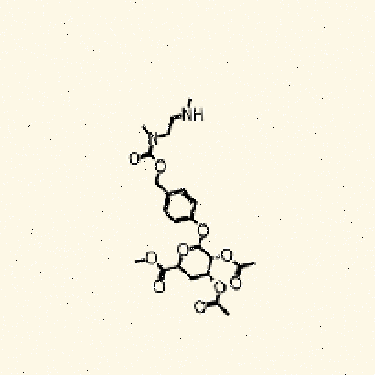 CNCCN(C)C(=O)OCc1ccc(O[C@@H]2O[C@H](C(=O)OC)C[C@H](OC(C)=O)[C@H]2OC(C)=O)cc1